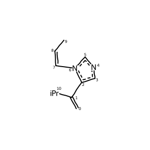 C=C(c1cncn1/C=C\C)C(C)C